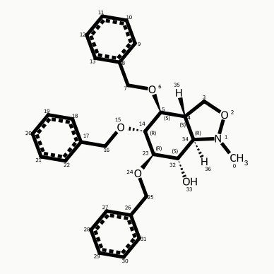 CN1OC[C@H]2[C@H](OCc3ccccc3)[C@@H](OCc3ccccc3)[C@H](OCc3ccccc3)[C@@H](O)[C@@H]21